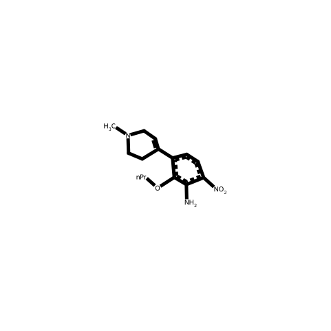 CCCOc1c(C2=CCN(C)CC2)ccc([N+](=O)[O-])c1N